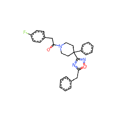 O=C(Cc1ccc(F)cc1)N1CCC(c2ccccc2)(c2noc(Cc3ccccc3)n2)CC1